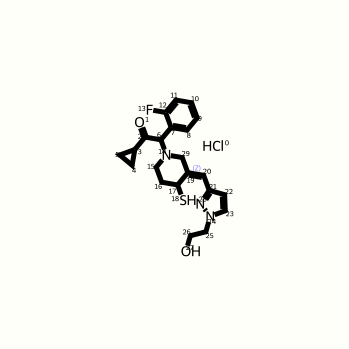 Cl.O=C(C1CC1)C(c1ccccc1F)N1CCC(S)/C(=C\c2ccn(CCO)n2)C1